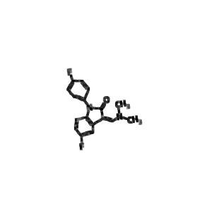 CN(C)C=C1C(=O)N(c2ccc(F)cc2)c2ccc(F)cc21